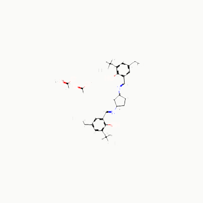 CC(=O)[O-].CC(=O)[O-].CCc1cc(C=NC2CCC(N=Cc3cc(CC)cc(C(C)(C)C)c3O)C2)c(O)c(C(C)(C)C)c1.[Co+2]